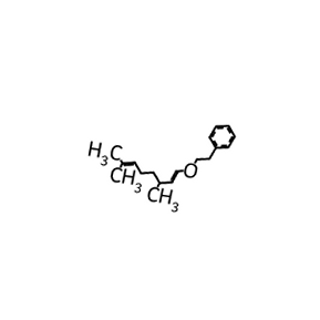 CC(C)=CCCC(C)C=COCCc1ccccc1